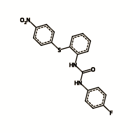 O=C(Nc1ccc(F)cc1)Nc1ccccc1Sc1ccc([N+](=O)[O-])cc1